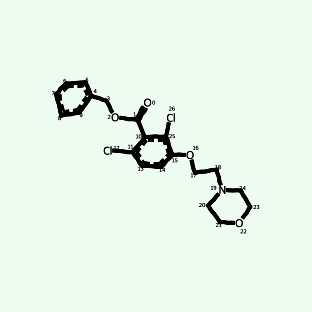 O=C(OCc1ccccc1)c1c(Cl)ccc(OCCN2CCOCC2)c1Cl